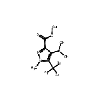 [2H]C([2H])([2H])c1c(B(O)O)c(C(=O)OC(C)(C)C)nn1C